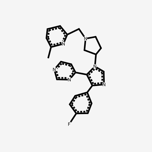 Cc1cccc(CN2CCC(n3cnc(-c4ccc(F)cc4)c3-c3ccncn3)C2)n1